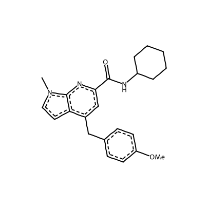 COc1ccc(Cc2cc(C(=O)NC3CCCCC3)nc3c2ccn3C)cc1